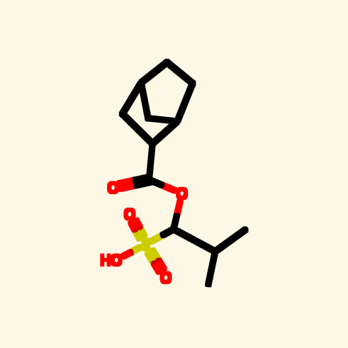 CC(C)C(OC(=O)C1CC2CCC1C2)S(=O)(=O)O